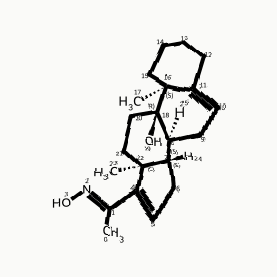 CC(=NO)C1=CC[C@H]2[C@@H]3CC=C4CCCC[C@]4(C)[C@@]3(O)CC[C@]12C